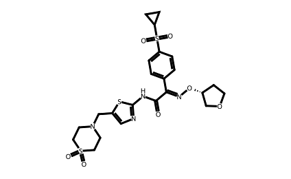 O=C(Nc1ncc(CN2CCS(=O)(=O)CC2)s1)/C(=N/O[C@@H]1CCOC1)c1ccc(S(=O)(=O)C2CC2)cc1